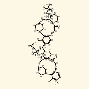 Cc1c(Cl)ccc2c1C1CCC(CC1)OC[C@H]1[C@@H](NS(=O)(=O)C3CC3)C(Cc3ccc4c(c3C)C3CCC(CC3)OC[C@H]3[C@@H](NS(=O)(=O)C(C)C)CCCN3C(=O)CO4)CCN1C(=O)CO2